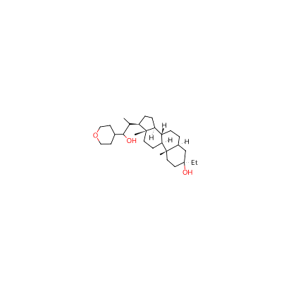 CC[C@]1(O)CC[C@@]2(C)[C@@H](CC[C@@H]3[C@@H]2CC[C@]2(C)[C@@H](C(C)C(O)C4CCOCC4)CC[C@@H]32)C1